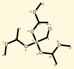 COC(C)O[Si](CCl)(OC(C)OC)OC(C)OC